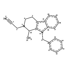 C#CCN1CCc2c(n(Cc3ccccc3)c3ccccc23)C1C